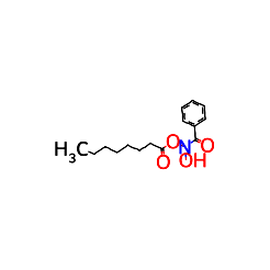 CCCCCCCC(=O)ON(O)C(=O)c1ccccc1